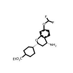 CCOC(=O)C1CCC([C@H]2C[C@@H](N)c3ccc(OC(F)F)cc3O2)CC1